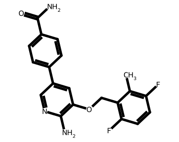 Cc1c(F)ccc(F)c1COc1cc(-c2ccc(C(N)=O)cc2)cnc1N